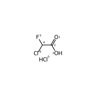 Cl.O=C(O)C(F)Cl